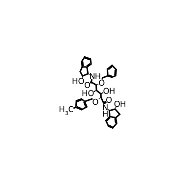 Cc1ccc(CO[C@@H](C(=O)N[C@H]2c3ccccc3C[C@H]2O)[C@H](O)[C@@H](O)[C@@H](OCc2ccccc2)C(=O)N[C@H]2c3ccccc3C[C@H]2O)cc1